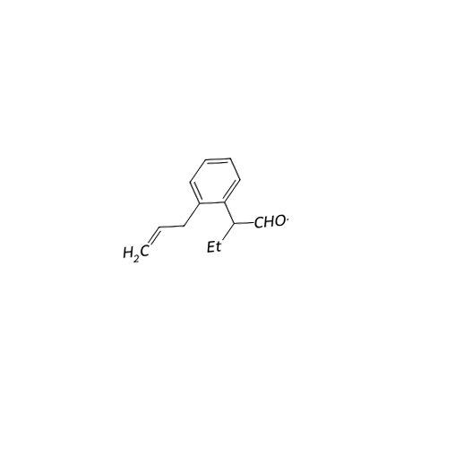 C=CCc1ccccc1C([C]=O)CC